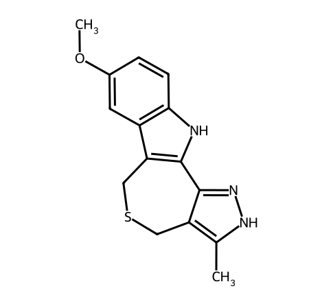 COc1ccc2[nH]c3c(c2c1)CSCc1c-3n[nH]c1C